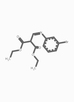 CCOC(=O)C(/C=N\c1cccc(Br)c1)C(=O)OCC